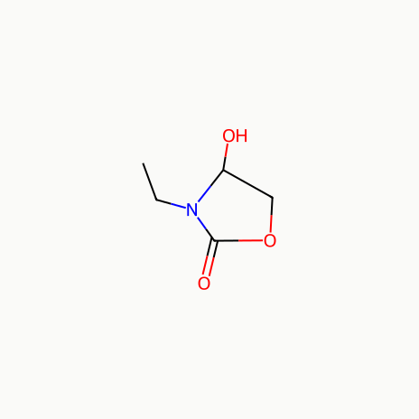 CCN1C(=O)OCC1O